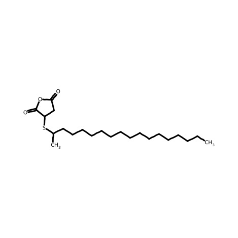 CCCCCCCCCCCCCCCCC(C)SC1CC(=O)OC1=O